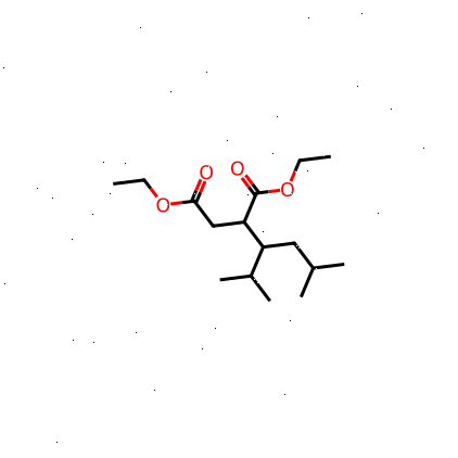 CCOC(=O)CC(C(=O)OCC)C(CC(C)C)C(C)C